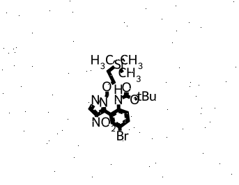 CC(C)(C)OC(=O)Nc1ccc(Br)cc1-c1c([N+](=O)[O-])cnn1COCC[Si](C)(C)C